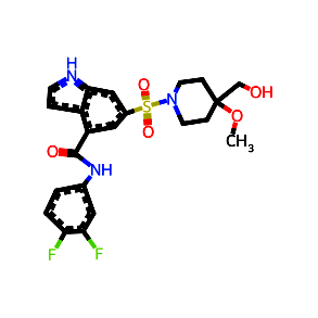 COC1(CO)CCN(S(=O)(=O)c2cc(C(=O)Nc3ccc(F)c(F)c3)c3cc[nH]c3c2)CC1